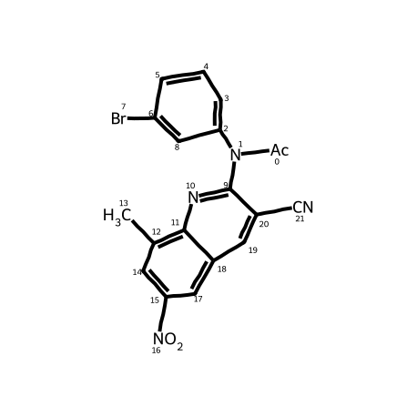 CC(=O)N(c1cccc(Br)c1)c1nc2c(C)cc([N+](=O)[O-])cc2cc1C#N